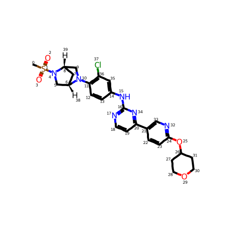 CS(=O)(=O)N1C[C@@H]2C[C@H]1CN2c1ccc(Nc2nccc(-c3ccc(OC4CCOCC4)nc3)n2)cc1Cl